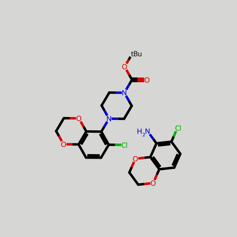 CC(C)(C)OC(=O)N1CCN(c2c(Cl)ccc3c2OCCO3)CC1.Nc1c(Cl)ccc2c1OCCO2